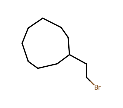 BrCCC1CCCCCCCC1